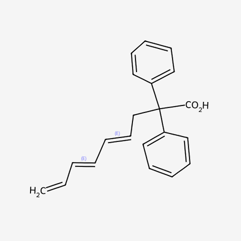 C=C/C=C/C=C/CC(C(=O)O)(c1ccccc1)c1ccccc1